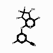 N#Cc1cc(F)cc(Oc2ncc(Br)c3c2[C@@H](F)C(F)(F)[C@H]3O)c1